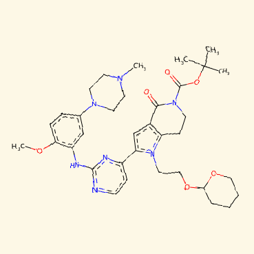 COc1ccc(N2CCN(C)CC2)cc1Nc1nccc(-c2cc3c(n2CCOC2CCCCO2)CCN(C(=O)OC(C)(C)C)C3=O)n1